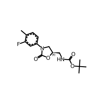 Cc1ccc(N2C[C@@H](CNC(=O)OC(C)(C)C)OC2=O)cc1F